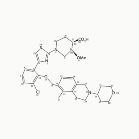 CO[C@H]1CN(c2nc(-c3cccc(Cl)c3OCc3ccc4c(c3C)CCN(C3CCOCC3)C4)cs2)CC[C@H]1C(=O)O